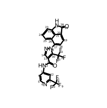 O=C(Nc1ccnc(C(F)(F)F)c1)c1cnn(-c2ccc3c4c(cccc24)NC3=O)c1C(F)(F)F